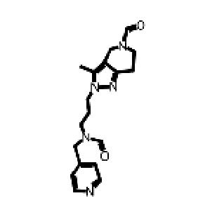 Cc1c2c(nn1CCCN(C=O)Cc1ccncc1)CCN(C=O)C2